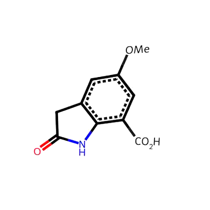 COc1cc2c(c(C(=O)O)c1)NC(=O)C2